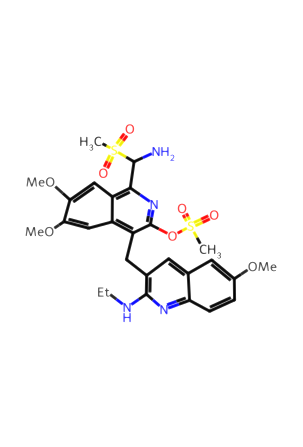 CCNc1nc2ccc(OC)cc2cc1Cc1c(OS(C)(=O)=O)nc(C(N)S(C)(=O)=O)c2cc(OC)c(OC)cc12